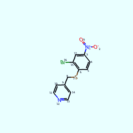 O=[N+]([O-])c1ccc(SCc2ccncc2)c(Br)c1